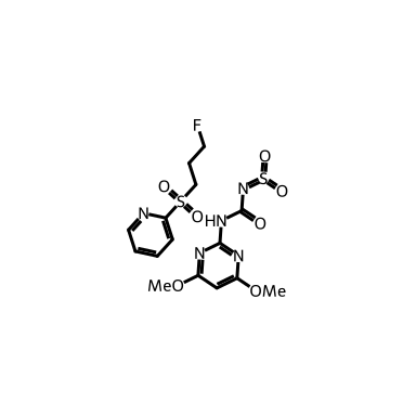 COc1cc(OC)nc(NC(=O)N=S(=O)=O)n1.O=S(=O)(CCCF)c1ccccn1